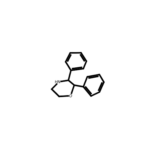 c1ccc(C2NCCOC2c2ccccc2)cc1